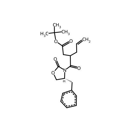 C=CCC(CC(=O)OC(C)(C)C)C(=O)N1C(=O)OC[C@H]1Cc1ccccc1